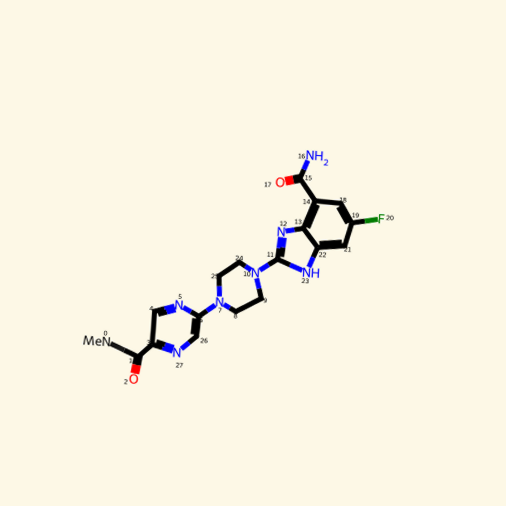 CNC(=O)c1cnc(N2CCN(c3nc4c(C(N)=O)cc(F)cc4[nH]3)CC2)cn1